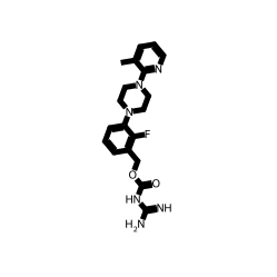 Cc1cccnc1N1CCN(c2cccc(COC(=O)NC(=N)N)c2F)CC1